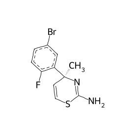 C[C@@]1(c2cc(Br)ccc2F)C=CSC(N)=N1